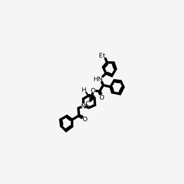 CCc1cccc(NC(C(=O)O[C@H]2C[N+]3(CC(=O)c4ccccc4)CCC2CC3)c2ccccc2)c1